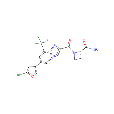 NC(=O)C1[CH]CN1C(=O)c1cn2cc(-c3coc(Br)c3)cc(C(F)(F)F)c2n1